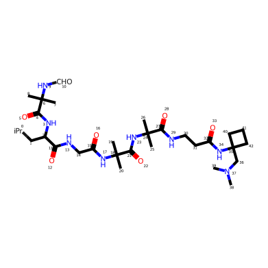 CC(C)CC(NC(=O)C(C)(C)NC=O)C(=O)NCC(=O)NC(C)(C)C(=O)NC(C)(C)C(=O)NCCC(=O)NC1(CN(C)C)CCC1